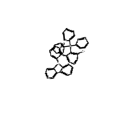 N#Cc1cccc(-n2c3ccccc3c3ccccc32)c1-c1cccc(C#N)c1[Si](c1ccccc1)(c1ccccc1)c1ccccc1